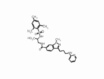 Cc1cc(C)c(S(=O)(=O)NC(CNC(=O)c2ccc3c(CCCNc4ccccn4)nn(C)c3c2)C(=O)O)c(C)c1